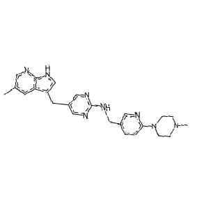 Cc1cnc2[nH]cc(Cc3cnc(NCc4ccc(N5CCN(C)CC5)nc4)nc3)c2c1